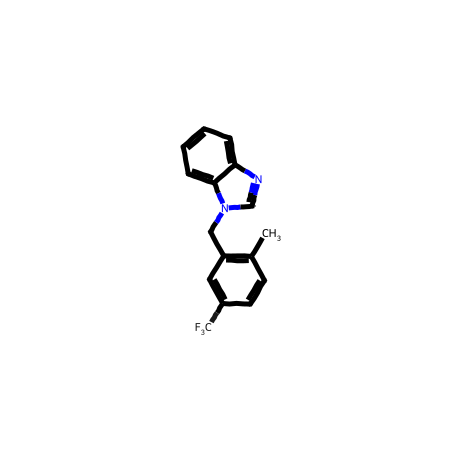 Cc1ccc(C(F)(F)F)cc1Cn1[c]nc2ccccc21